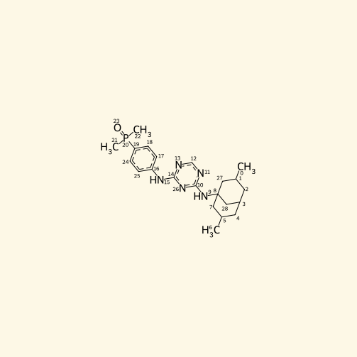 CC1CC2CC(C)CC(Nc3ncnc(Nc4ccc(P(C)(C)=O)cc4)n3)(C1)C2